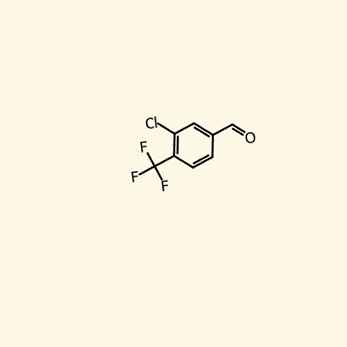 O=Cc1ccc(C(F)(F)F)c(Cl)c1